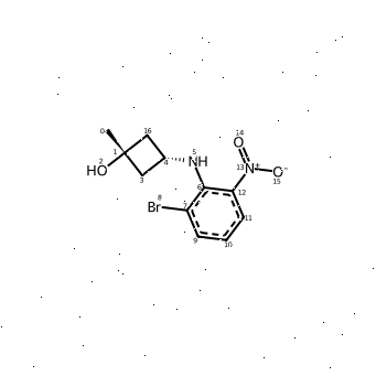 C[C@]1(O)C[C@@H](Nc2c(Br)cccc2[N+](=O)[O-])C1